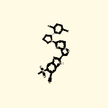 CS(=O)(=O)c1cc2nc(-c3cnn4ccc(N5CCC[C@@H]5c5cc(F)ccc5F)nc34)[nH]c2cc1C#N